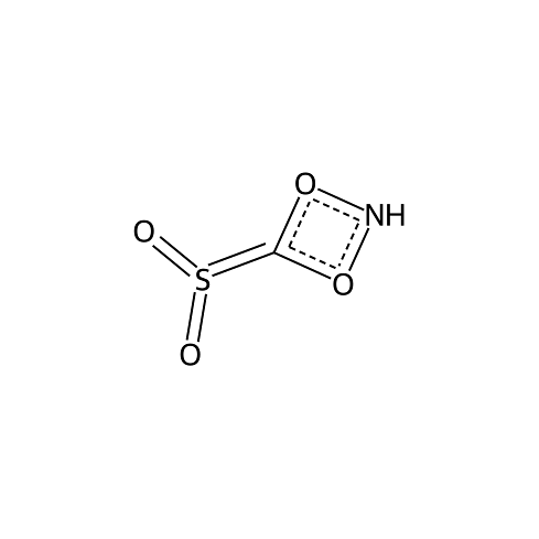 O=S(=O)=c1o[nH]o1